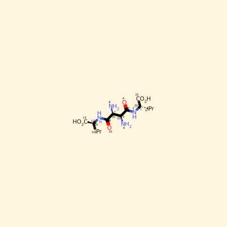 CC(C)[C@H](NC(=O)[C@@H](N)[C@H](N)C(=O)N[C@H](C(=O)O)C(C)C)C(=O)O